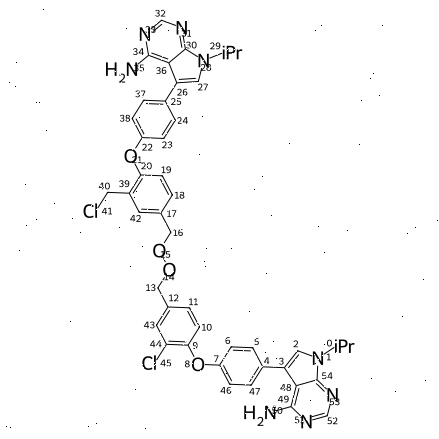 CC(C)n1cc(-c2ccc(Oc3ccc(COOCc4ccc(Oc5ccc(-c6cn(C(C)C)c7ncnc(N)c67)cc5)c(CCl)c4)cc3Cl)cc2)c2c(N)ncnc21